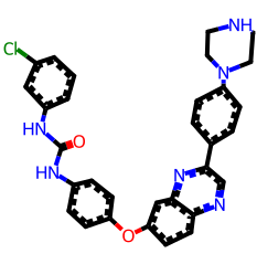 O=C(Nc1ccc(Oc2ccc3ncc(-c4ccc(N5CCNCC5)cc4)nc3c2)cc1)Nc1cccc(Cl)c1